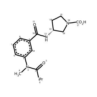 CC(C)C(=O)N(C)c1cccc(C(=O)N[C@@H]2CCN(C(=O)O)C2)c1